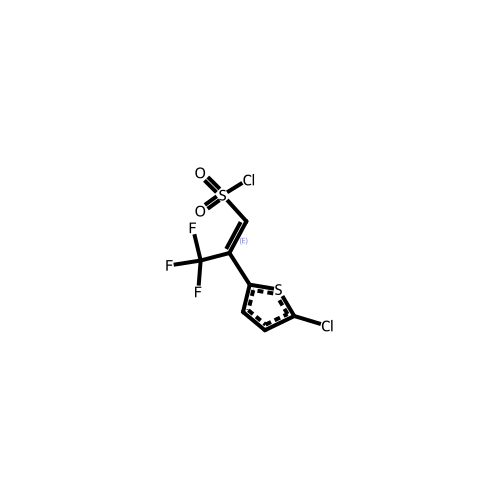 O=S(=O)(Cl)/C=C(/c1ccc(Cl)s1)C(F)(F)F